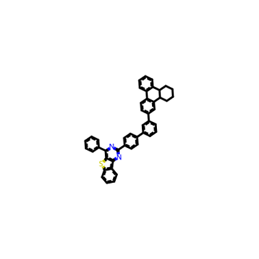 c1ccc(-c2nc(-c3ccc(-c4cccc(-c5ccc6c(c5)C5CCCCC5c5ccccc5-6)c4)cc3)nc3c2sc2ccccc23)cc1